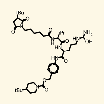 CC(C)[C@H](NC(=O)CCCCCN1C(=O)CC(C(C)(C)C)C1=O)C(=O)N[C@@H](CCCNC(N)O)C(=O)Nc1ccc(COC(=O)N2CCC(C(C)(C)C)CC2)cc1